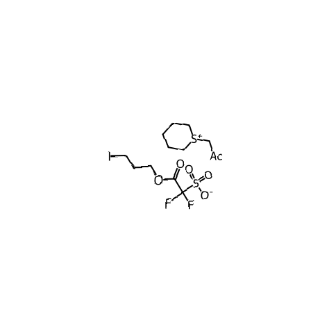 CC(=O)C[S+]1CCCCC1.O=C(OCCCI)C(F)(F)S(=O)(=O)[O-]